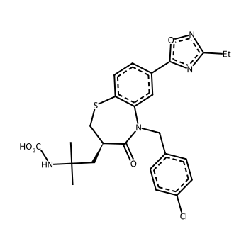 CCc1noc(-c2ccc3c(c2)N(Cc2ccc(Cl)cc2)C(=O)[C@@H](CC(C)(C)NC(=O)O)CS3)n1